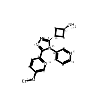 CCOc1ccc(-c2nnc([C@H]3C[C@H](N)C3)n2-c2cccnc2)nc1